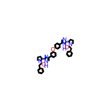 O=C(Cc1ccccc1)N1CCC[C@H]1c1nc(-c2cccc(Oc3ccc(-c4cnc([C@@H]5CCCN5C(=O)Cc5ccccc5)[nH]4)cc3)c2)c[nH]1